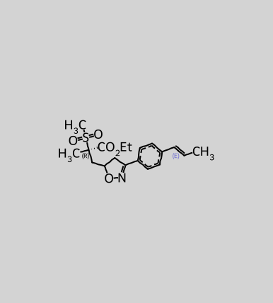 C/C=C/c1ccc(C2=NOC(C[C@](C)(C(=O)OCC)S(C)(=O)=O)C2)cc1